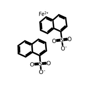 O=S(=O)([O-])c1cccc2ccccc12.O=S(=O)([O-])c1cccc2ccccc12.[Fe+2]